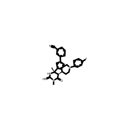 CN1C(=N)N[C@](C)(c2cc(-c3cccc(C#N)c3)cs2)[C@@H](C2CCN(c3ccc(F)cc3)CC2)C1=O